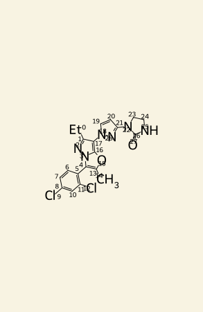 CCc1nn2c(-c3ccc(Cl)cc3Cl)c(C)oc2c1-n1ccc(N2CCNC2=O)n1